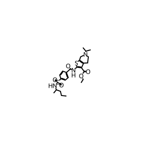 CCCC(C)NS(=O)(=O)c1ccc(C(=O)Nc2sc3c(c2C(=O)OCC)CCN(C(C)C)C3)cc1